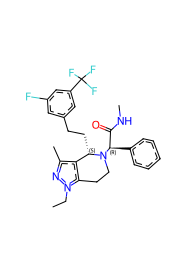 CCn1nc(C)c2c1CCN([C@@H](C(=O)NC)c1ccccc1)[C@H]2CCc1cc(F)cc(C(F)(F)F)c1